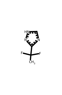 CC(F)(F)c1nc[nH]n1